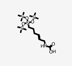 C[Si](C)(C)O[Si](CCCC=CCNC(=O)O)(O[Si](C)(C)C)O[Si](C)(C)C